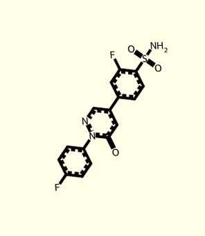 NS(=O)(=O)c1ccc(-c2cnn(-c3ccc(F)cc3)c(=O)c2)cc1F